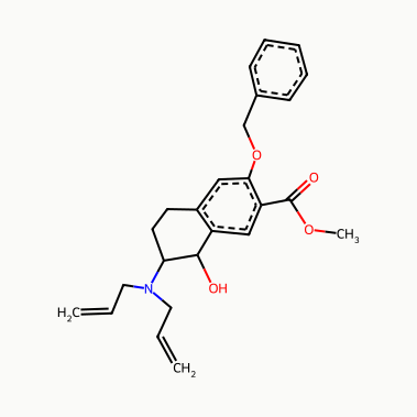 C=CCN(CC=C)C1CCc2cc(OCc3ccccc3)c(C(=O)OC)cc2C1O